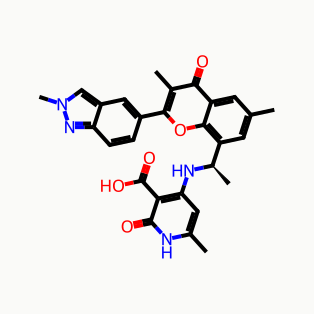 Cc1cc([C@@H](C)Nc2cc(C)[nH]c(=O)c2C(=O)O)c2oc(-c3ccc4nn(C)cc4c3)c(C)c(=O)c2c1